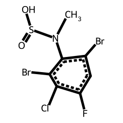 CN(c1c(Br)cc(F)c(Cl)c1Br)S(=O)O